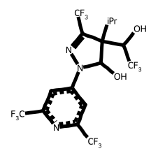 CC(C)C1(C(O)C(F)(F)F)C(C(F)(F)F)=NN(c2cc(C(F)(F)F)nc(C(F)(F)F)c2)C1O